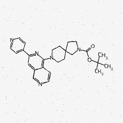 CC(C)(C)OC(=O)N1CCC2(CCN(c3nc(-c4ccncc4)cc4cnccc34)CC2)C1